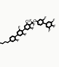 CCCCc1ccc(-c2cc(F)c(-c3cc(F)c(C(F)(F)Oc4ccc(-c5cc(F)c(F)c(F)c5)c(F)c4)c(Cl)c3)c(F)c2)c(F)c1